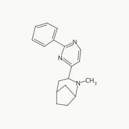 CN1C2CCC(C2)CC1c1ccnc(-c2ccccc2)n1